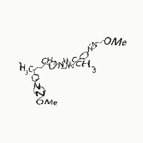 COCCCN1CCN(c2ccc(C(C)(C)C3CC3N3CCN(c4ccc(C(C)CCC(C)c5ccc(N6CCN(CCOC)CC6)cc5)cc4)CC3)cc2)CC1